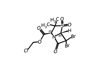 CC1(C)[C@H](C(=O)OCCl)N2C(=O)C(Br)(Br)[C@H]2S1(=O)=O